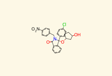 O=C1c2ccccc2C(OC2CC[C@@H](O)C2)(c2ccc(Cl)cc2)N1Cc1ccc([N+](=O)[O-])cc1